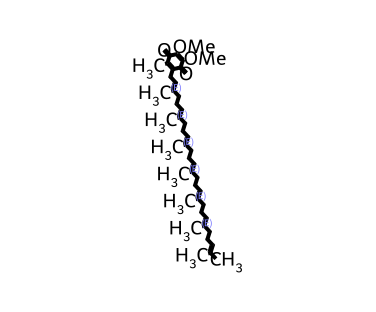 COC1=C(OC)C(=O)C(C/C=C(\C)CC/C=C(\C)CC/C=C(\C)CC/C=C(\C)CC/C=C(\C)CC/C=C(\C)CCC=C(C)C)=C(C)C1=O